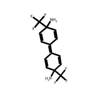 NC1(C(F)(F)F)C=CC(=C2C=CC(N)(C(F)(F)F)C=C2)C=C1